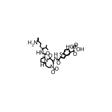 C=C(N)CC[C@H](NC(=O)[C@@H]1CC[C@@H]2CCN(C(=O)OC)C[C@H](NC(=O)c3cc4cc(C(=O)P(=O)(O)O)ccc4s3)C(=O)N21)C(C)C